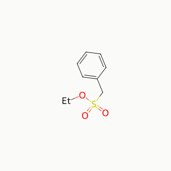 CCOS(=O)(=O)Cc1ccccc1